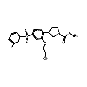 CC(C)(C)OC(=O)N1CCC(c2ccc(S(=O)(=O)C3C=CC=C(F)C3)cc2OCCO)C1